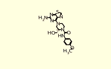 COc1ccc(NC(=O)N2CCN(c3nc(N)nc4scnc34)C[C@H]2CO)cc1